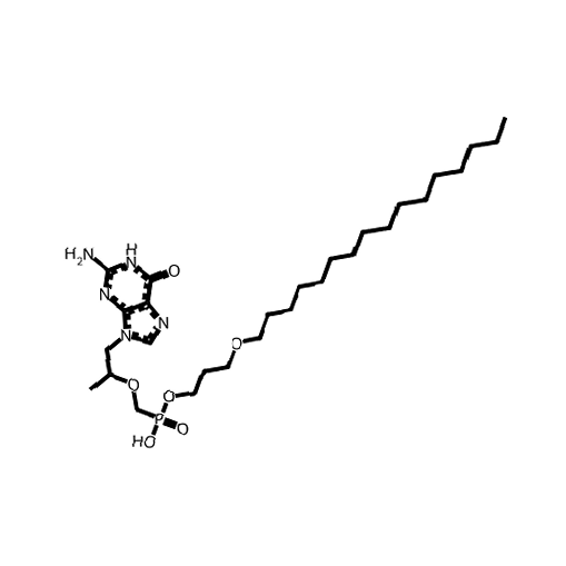 CCCCCCCCCCCCCCCCOCCCOP(=O)(O)COC(C)Cn1cnc2c(=O)[nH]c(N)nc21